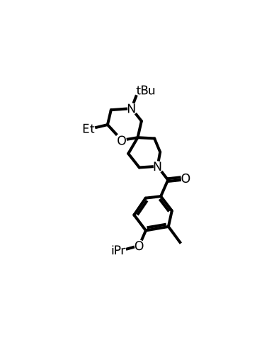 CCC1CN(C(C)(C)C)CC2(CCN(C(=O)c3ccc(OC(C)C)c(C)c3)CC2)O1